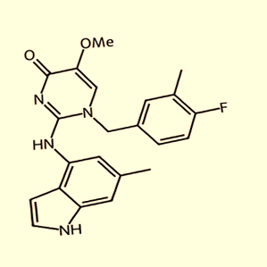 COc1cn(Cc2ccc(F)c(C)c2)c(Nc2cc(C)cc3[nH]ccc23)nc1=O